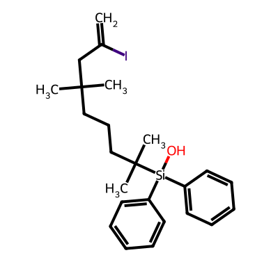 C=C(I)CC(C)(C)CCCC(C)(C)[Si](O)(c1ccccc1)c1ccccc1